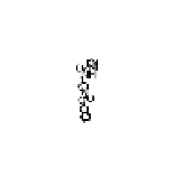 O=C(NCC1CCN(C(=O)OC2Cc3ccccc3C2)CC1)c1ccn[nH]1